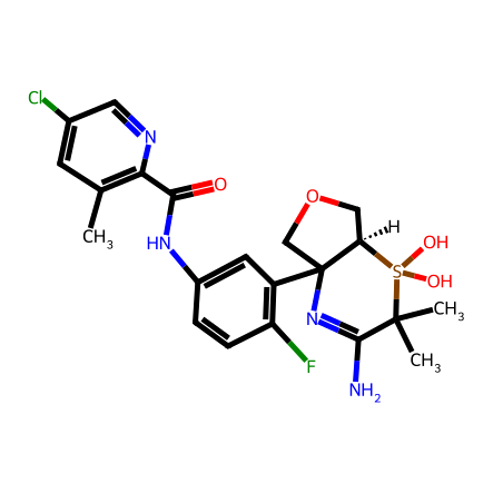 Cc1cc(Cl)cnc1C(=O)Nc1ccc(F)c(C23COC[C@H]2S(O)(O)C(C)(C)C(N)=N3)c1